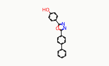 Oc1ccc(-c2nnc(-c3ccc(-c4ccccc4)cc3)o2)cc1